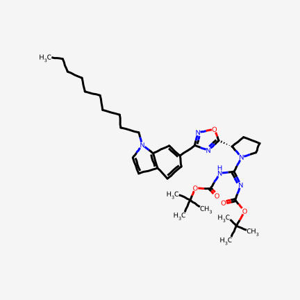 CCCCCCCCCCn1ccc2ccc(-c3noc([C@@H]4CCCN4/C(=N/C(=O)OC(C)(C)C)NC(=O)OC(C)(C)C)n3)cc21